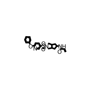 C=CC(=O)NC1CC2CN(S(=O)(=O)c3ccc(Oc4ccccc4)nc3)CC2C1